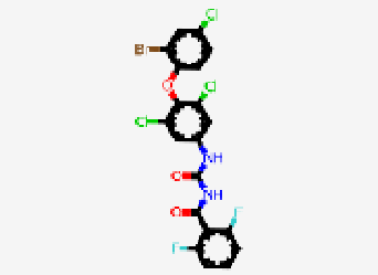 O=C(NC(=O)c1c(F)cccc1F)Nc1cc(Cl)c(Oc2ccc(Cl)cc2Br)c(Cl)c1